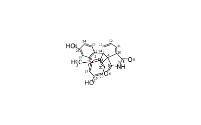 CCCCC12C(=O)NC(=O)C1=CC=CC2(c1ccc(O)cc1)c1ccc(O)cc1